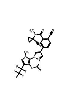 CN(C(=O)c1cc(-c2cnn(-c3c(OC(F)F)c(C(F)(F)C(F)(F)F)nn3C)c2)ccc1C#N)C1(C#N)CC1